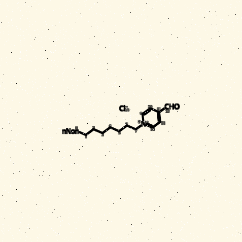 CCCCCCCCCCCCCCCC[n+]1ccc(C=O)cc1.[Cl-]